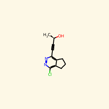 C[C@@H](O)C#Cc1nnc(Cl)c2c1CCC2